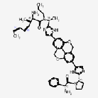 C=C(/C=C\C=C/C)[C@@H](N)C(=O)N(CCC)[C@@H](C)c1ncc(-c2cc3c4c(c2)OCc2cc(-c5cnc([C@@H]6CCCN6C(=O)[C@H](N)c6ccccc6)[nH]5)cc(c2-4)OC3)[nH]1